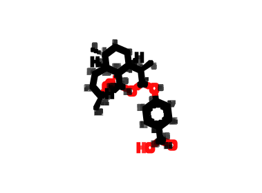 C[C@@H]1CC[C@H]2[C@@H](C)C(Oc3ccc(C(=O)O)cc3)O[C@@H]3O[C@@]4(C)CC[C@@H]1[C@]32OO4